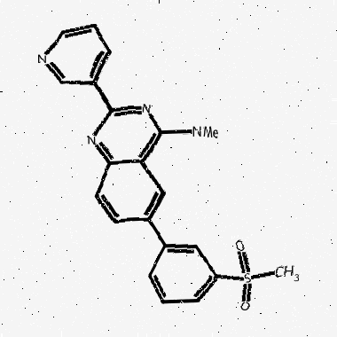 CNc1nc(-c2cccnc2)nc2ccc(-c3cccc(S(C)(=O)=O)c3)cc12